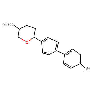 CCCCCCCC1CCC(c2ccc(-c3ccc(CCC)cc3)cc2)OC1